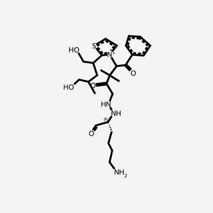 CC(CO)CC(CO)c1scc[n+]1C(C(=O)c1ccccc1)C(C)(C)C(=O)CNN[C@@H](C=O)CCCCN